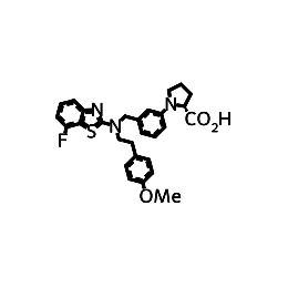 COc1ccc(CCN(Cc2cccc(N3CCC[C@H]3C(=O)O)c2)c2nc3cccc(F)c3s2)cc1